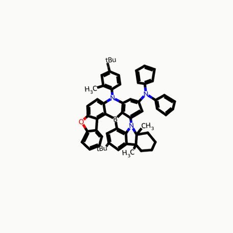 Cc1cc(C(C)(C)C)ccc1N1c2cc(N(c3ccccc3)c3ccccc3)cc3c2B(c2cc(C(C)(C)C)cc4c2N3C2(C)CCCCC42C)c2c1ccc1oc3ccccc3c21